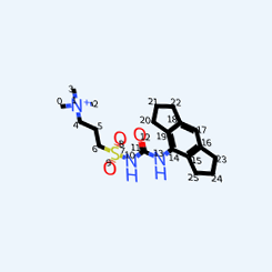 C[N+](C)(C)CCCS(=O)(=O)NC(=O)Nc1c2c(cc3c1CCC3)CCC2